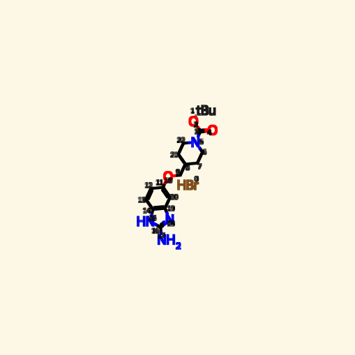 Br.CC(C)(C)OC(=O)N1CCC(COc2ccc3[nH]c(N)nc3c2)CC1